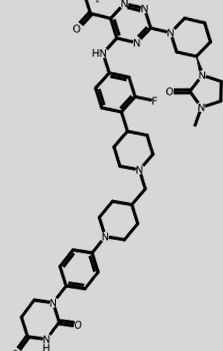 CN1CCN([C@@H]2CCCN(c3nnc(C(N)=O)c(Nc4ccc(C5CCN(CC6CCN(c7ccc(N8CCC(=O)NC8=O)cc7)CC6)CC5)c(F)c4)n3)C2)C1=O